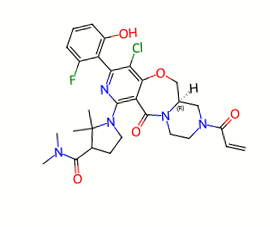 C=CC(=O)N1CCN2C(=O)c3c(N4CCC(C(=O)N(C)C)C4(C)C)nc(-c4c(O)cccc4F)c(Cl)c3OC[C@H]2C1